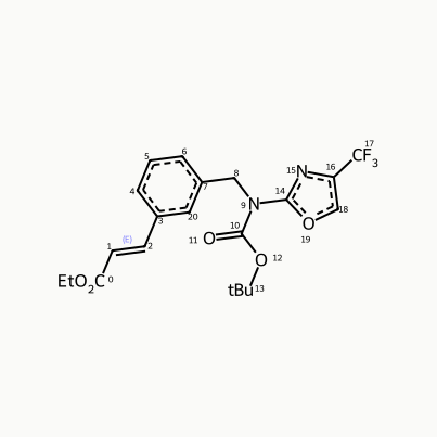 CCOC(=O)/C=C/c1cccc(CN(C(=O)OC(C)(C)C)c2nc(C(F)(F)F)co2)c1